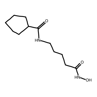 O=C(CCCCNC(=O)C1CCCCC1)NO